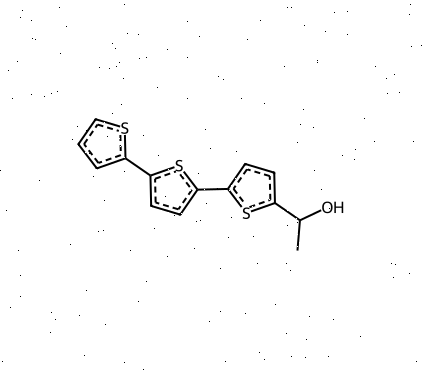 CC(O)c1ccc(-c2ccc(-c3cccs3)s2)s1